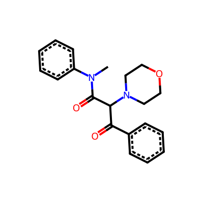 CN(C(=O)C(C(=O)c1ccccc1)N1CCOCC1)c1ccccc1